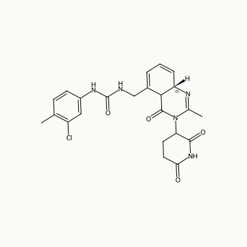 CC1=N[C@H]2C=CC=C(CNC(=O)Nc3ccc(C)c(Cl)c3)C2C(=O)N1C1CCC(=O)NC1=O